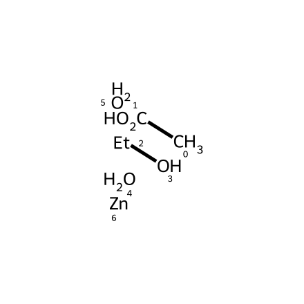 CC(=O)O.CCO.O.O.[Zn]